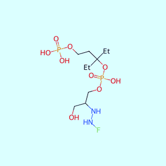 CCC(CC)(CCOP(=O)(O)O)OP(=O)(O)OCC(CO)NNF